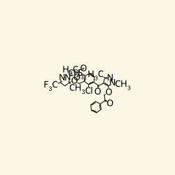 Cc1nn(C)c(OCC(=O)c2ccccc2)c1C(=O)c1ccc(S(C)(=O)=O)c(COC2(C)CC(C(F)(F)F)=NN2C)c1Cl